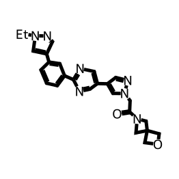 CCn1cc(-c2cccc(-c3ncc(-c4cnn(CC(=O)N5CC6(COC6)C5)c4)cn3)c2)cn1